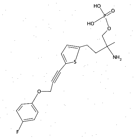 CC(N)(CCc1ccc(C#CCOc2ccc(F)cc2)s1)COP(=O)(O)O